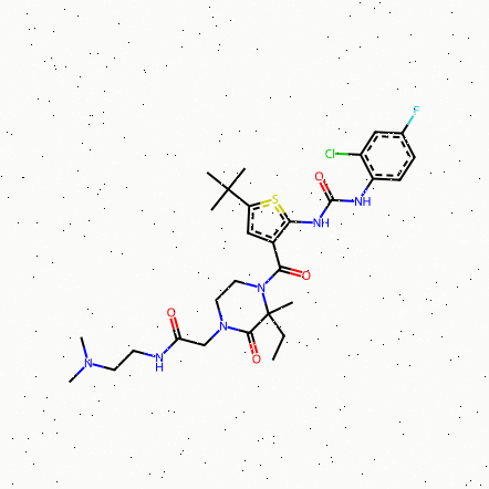 CCC1(C)C(=O)N(CC(=O)NCCN(C)C)CCN1C(=O)c1cc(C(C)(C)C)sc1NC(=O)Nc1ccc(F)cc1Cl